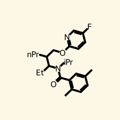 CCCC(COc1ccc(F)cn1)C(CC)N(C(=O)c1cc(C)ccc1C)C(C)C